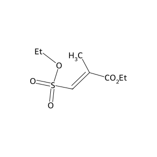 CCOC(=O)C(C)=CS(=O)(=O)OCC